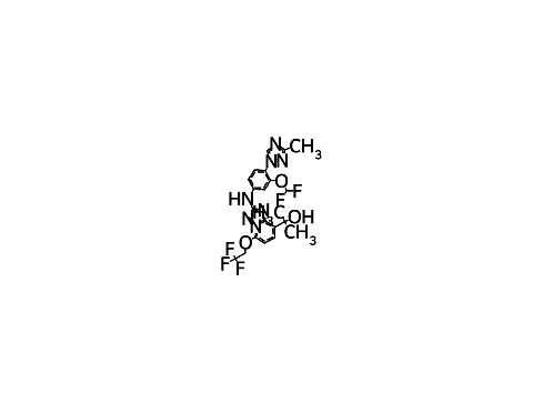 Cc1ncn(-c2ccc(Nc3nc4c(C(C)(C)O)ccc(OCC(F)(F)F)n4n3)cc2OC(F)F)n1